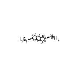 CCC#Cc1ccc2cc3cc(C#CCP)ccc3cc2c1